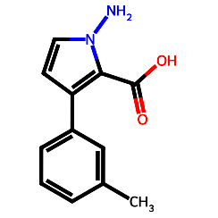 Cc1cccc(-c2ccn(N)c2C(=O)O)c1